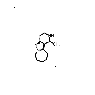 CC1NCCc2nn3c(c21)CCCCC3